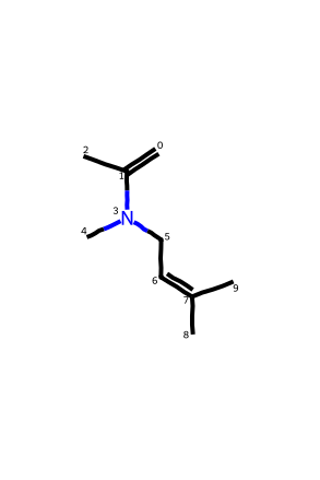 C=C(C)N(C)CC=C(C)C